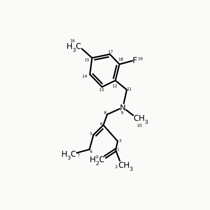 C=C(C)C/C(=C\CC)CN(C)Cc1ccc(C)cc1F